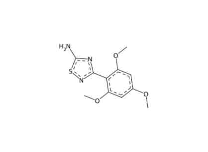 COc1cc(OC)c(-c2nsc(N)n2)c(OC)c1